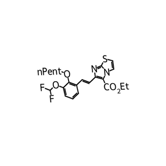 CCCCCOc1c(C=Cc2nc3sccn3c2C(=O)OCC)cccc1OC(F)F